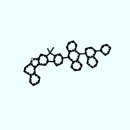 CC1(C)c2cc(-c3c4ccccc4c(-c4ccc(-c5ccccc5)c5ccccc45)c4ccccc34)ccc2-c2cc3c(cc21)oc1ccc2ccccc2c13